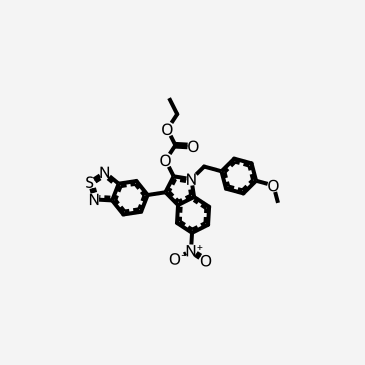 CCOC(=O)Oc1c(-c2ccc3nsnc3c2)c2cc([N+](=O)[O-])ccc2n1Cc1ccc(OC)cc1